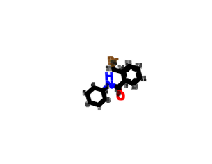 O=C(NC1CCCCC1)c1ccccc1CBr